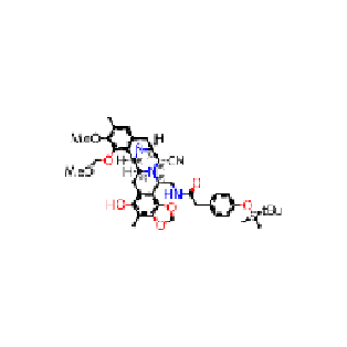 COCOc1c(OC)c(C)cc2c1[C@@H]1[C@@H]3Cc4c(O)c(C)c5c(c4[C@H](CNC(=O)Cc4ccc(O[Si](C)(C)C(C)(C)C)cc4)N3[C@@H](C#N)[C@H](C2)N1C)OCO5